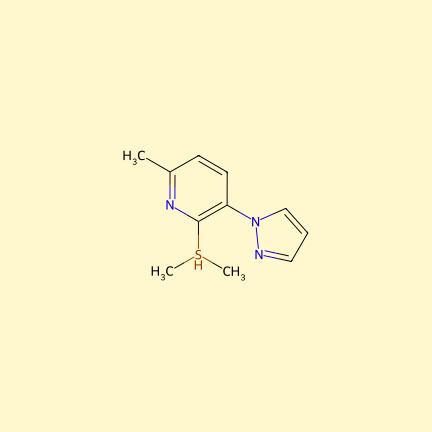 Cc1ccc(-n2cccn2)c([SH](C)C)n1